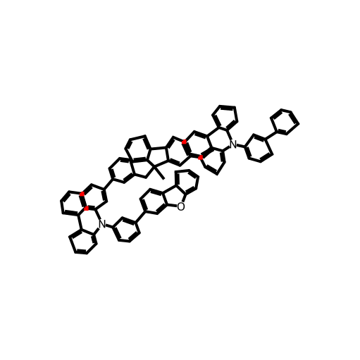 CC1(Cc2cccc(-c3cccc(N(c4cccc(-c5ccc6c(c5)oc5ccccc56)c4)c4ccccc4-c4ccccc4)c3)c2)c2ccccc2-c2ccc(-c3cccc(N(c4cccc(-c5ccccc5)c4)c4ccccc4-c4ccccc4)c3)cc21